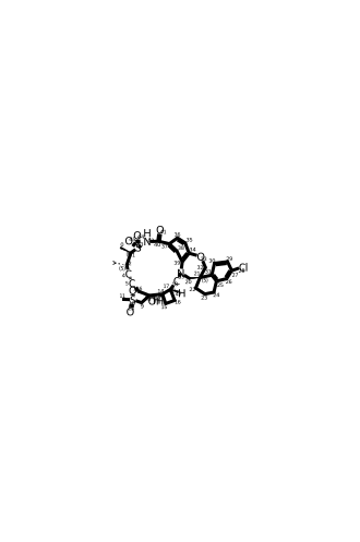 C[C@@H]1[C@@H](C)CCC[C@](O)(CS(C)(=O)=O)[C@@H]2CC[C@H]2CN2C[C@@]3(CCCc4cc(Cl)ccc43)COc3ccc(cc32)C(=O)NS1(=O)=O